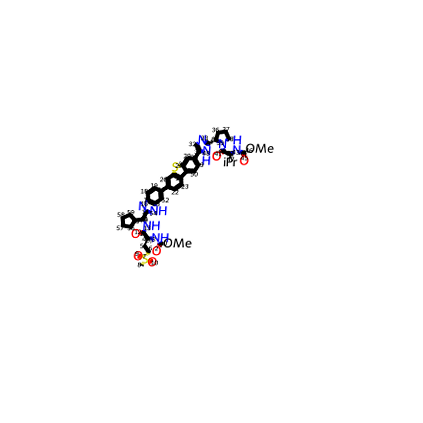 COC(=O)N[C@@H](CCS(C)(=O)=O)C(=O)N[C@H](c1nc2ccc(-c3ccc4c(c3)sc3cc(-c5cnc([C@@H]6CCCN6C(=O)[C@@H](NC(=O)OC)C(C)C)[nH]5)ccc34)cc2[nH]1)C1CCCC1